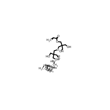 C=CC(=O)OCC(CO)(CO)COCC(CO)(CO)CO.CCCCC.CCCCC.CCCCC.CCCCC.CCCCC.CCCCC